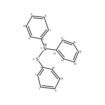 c1ccc(S[SiH](c2ccccc2)c2ccccc2)cc1